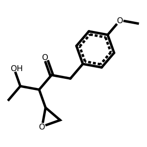 COc1ccc(CC(=O)C(C(C)O)C2CO2)cc1